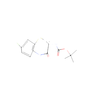 CC(C)(C)OC(=O)N[C@H]1CSc2cc(F)ccc2NC1=O